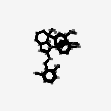 COc1ccc([C@@]2(C)CCCC3N=C(SCc4c(F)cccc4Cl)N(c4ccc(F)cc4)C32)cc1OC